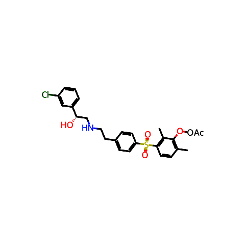 CC(=O)OOc1c(C)ccc(S(=O)(=O)c2ccc(CCNC[C@H](O)c3cccc(Cl)c3)cc2)c1C